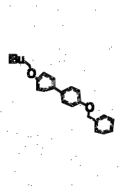 CCC(C)COc1ccc(-c2ccc(OCc3ccccc3)cc2)cc1